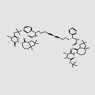 C[C@@H](C(=O)N[C@H]1CCS[C@H]2CC(C)(C)[C@@H](C(=O)N[C@H](COCC#CC#CCOC[C@@H](NC(=O)[C@H]3N4C(=O)[C@@H](NC(=O)[C@H](C)N(C)C(=O)OC(C)(C)C)CCS[C@H]4CC3(C)C)c3ccccc3)c3ccccc3)N2C1=O)N(C)C(=O)OC(C)(C)C